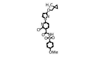 COc1ccc(S(=O)(=O)NC(=O)c2ccc(-n3ccc(OCC4(C)CC4)n3)nc2Cl)cc1